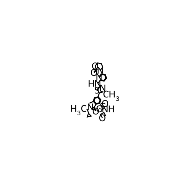 Cc1nc(Nc2cccc(N3CCCOC3=O)n2)sc1-c1cc2c(c(S(=O)(=O)NC3COC3)c1)C(=O)N([C@@H](C)C1CC1)C2